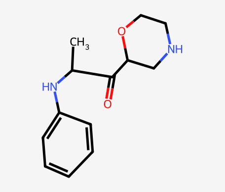 CC(Nc1ccccc1)C(=O)C1CNCCO1